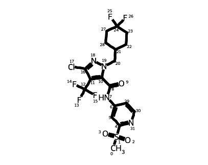 CS(=O)(=O)c1cc(NC(=O)c2c(C(F)(F)F)c(Cl)nn2CC2CCC(F)(F)CC2)ccn1